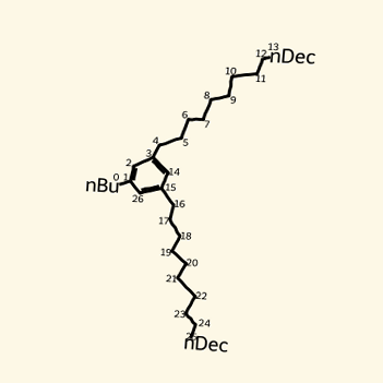 [CH2]CCCc1cc(CCCCCCCCCCCCCCCCCCC)cc(CCCCCCCCCCCCCCCCCCC)c1